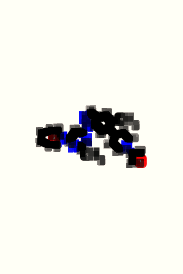 Cc1nc(N2CC3CCC(C2)O3)cc(-n2ncc3cc(C)c(C4CCN(C5COC5)CC4)cc32)n1